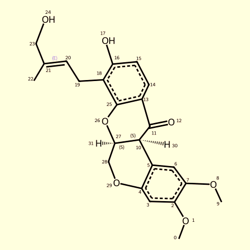 COc1cc2c(cc1OC)[C@@H]1C(=O)c3ccc(O)c(C/C=C(\C)CO)c3O[C@@H]1CO2